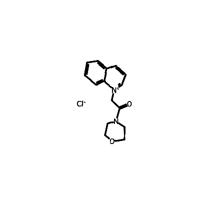 O=C(C[n+]1cccc2ccccc21)N1CCOCC1.[Cl-]